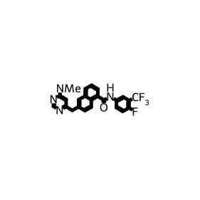 CNc1cc(Cc2ccc3c(C(=O)Nc4ccc(F)c(C(F)(F)F)c4)cccc3c2)ncn1